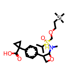 CC(C)[SH](=O)(COCC[Si](C)(C)C)N(C)C1OCC1c1ccc(C2(C(=O)O)CC2)cc1